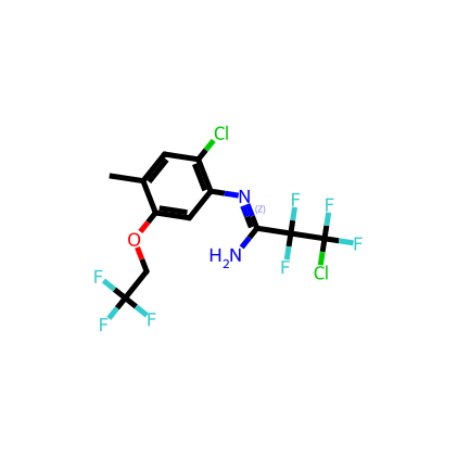 Cc1cc(Cl)c(/N=C(\N)C(F)(F)C(F)(F)Cl)cc1OCC(F)(F)F